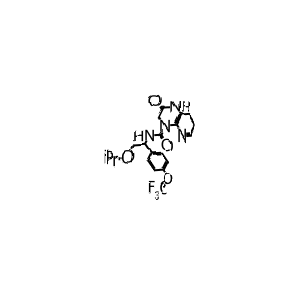 CC(C)OCC(NC(=O)N1CC(=O)NC2=C1N=CCC2)c1ccc(OC(F)(F)F)cc1